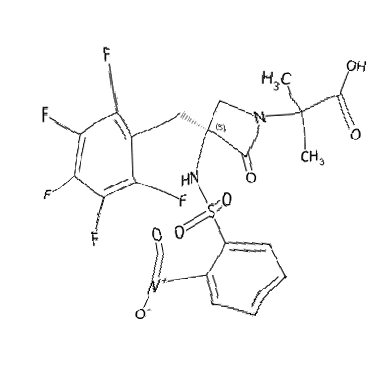 CC(C)(C(=O)O)N1C[C@](Cc2c(F)c(F)c(F)c(F)c2F)(NS(=O)(=O)c2ccccc2[N+](=O)[O-])C1=O